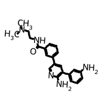 CN(C)CCNC(=O)c1cccc(-c2cnc(N)c(-c3cccc(N)c3)c2)c1